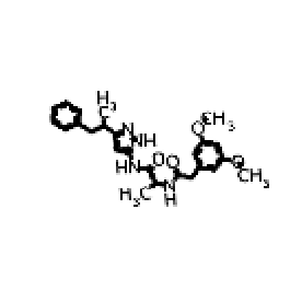 COc1cc(CC(=O)NC(C)C(=O)Nc2cc(C(C)Cc3ccccc3)n[nH]2)cc(OC)c1